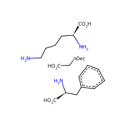 CCCCCCCCCCCC(=O)O.NCCCC[C@H](N)C(=O)O.N[C@@H](Cc1ccccc1)C(=O)O